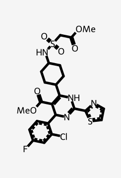 COC(=O)CS(=O)(=O)NC1CCC(C2=C(C(=O)OC)C(c3ccc(F)cc3Cl)N=C(c3nccs3)N2)CC1